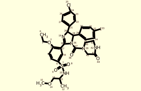 CCOc1ccc(S(=O)(=O)NC(C)COC)cc1C1=NC(c2ccc(Cl)cc2)C(c2ccc(I)cc2)N1C(=O)N1CCNC(=O)C1